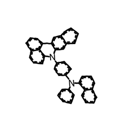 c1ccc(N(c2ccc(N3c4cc5ccccc5cc4-c4cccc5cccc3c45)cc2)c2cccc3ccccc23)cc1